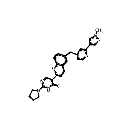 Cn1cc(-c2cc(Cc3ccc4nc(-c5cnc(N6CCCC6)[nH]c5=O)ccc4c3)ccn2)cn1